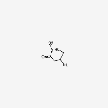 CCC(CO)CC(=O)OO